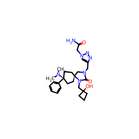 CN(C)[C@]1(c2ccccc2)CC[C@@]2(CC1)CN(Cc1cn(CC(N)=O)nn1)C(=O)N2CC1(O)CCC1